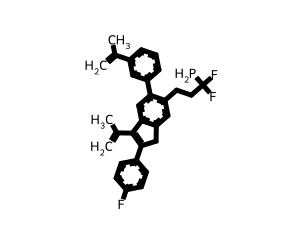 C=C(C)C1=C(c2ccc(F)cc2)Cc2cc(CCC(F)(F)P)c(-c3cccc(C(=C)C)c3)cc21